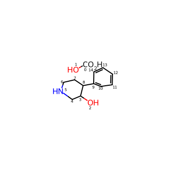 O=C(O)O.OC1CNCCC1c1ccccc1